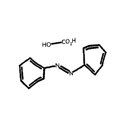 O=C(O)O.c1ccc(N=Nc2ccccc2)cc1